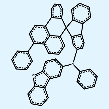 c1ccc(-c2ccc3c4c(cccc24)C2(c4ccccc4-c4ccc(N(c5ccccc5)c5ccc6sc7ccccc7c6c5)cc42)c2ccccc2-3)cc1